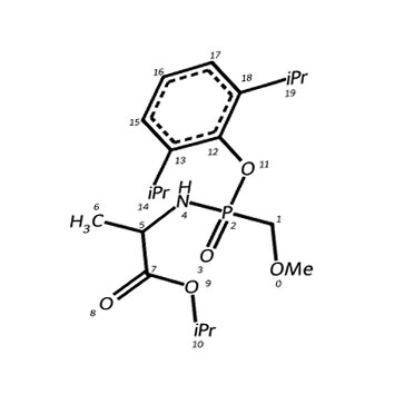 COCP(=O)(NC(C)C(=O)OC(C)C)Oc1c(C(C)C)cccc1C(C)C